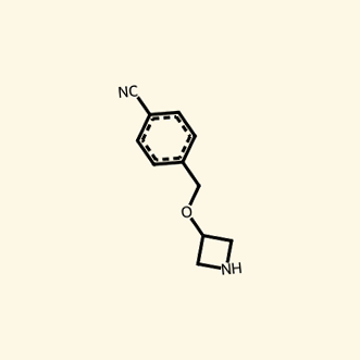 N#Cc1ccc(COC2CNC2)cc1